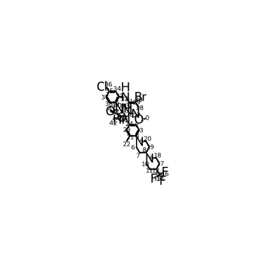 COc1cc(N2CCC(N3CCC(C(F)(F)F)CC3)CC2)c(C)cc1Nc1ncc(Br)c(Nc2cc(Cl)ccc2NS(C)(=O)=O)n1